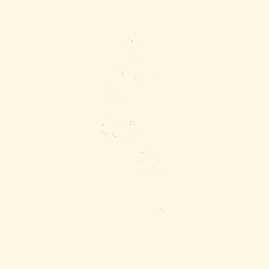 O=C(NC(c1ccncc1)C(F)(F)F)c1cc(-c2cnn3cc(-c4ccc(OCCN5CCCCC5)cc4)cnc23)cs1